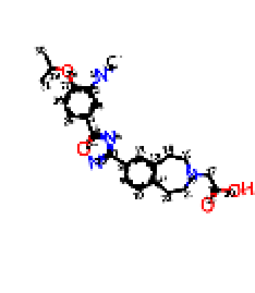 [C-]#[N+]c1cc(-c2nc(-c3ccc4c(c3)CCN(CC(=O)O)CC4)no2)ccc1OC(C)C